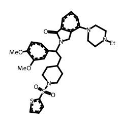 CCN1CCN(c2cccc3c2CN(C(CC2CCN(S(=O)(=O)c4cccs4)CC2)c2ccc(OC)c(OC)c2)C3=O)CC1